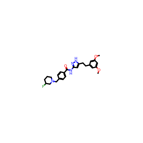 COc1cc(CCc2cc(NC(=O)c3ccc(CN4CCCC(F)C4)cc3)n[nH]2)cc(OC)c1